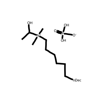 CCCCCCCCCCCCCCCC[N+](C)(C)C(C)O.O=P([O-])(O)O